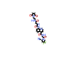 N#C[C@@H]1CC(F)(F)CN1C(=O)CNC(=O)c1ccnc2c(NC(=O)CCC(=O)NCCN3C(=O)C=CC3=O)cccc12